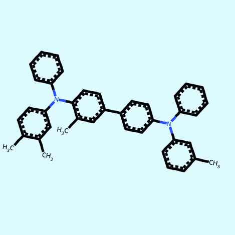 Cc1cccc(N(c2ccccc2)c2ccc(-c3ccc(N(c4ccccc4)c4ccc(C)c(C)c4)c(C)c3)cc2)c1